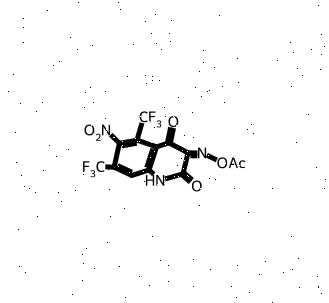 CC(=O)ON=C1C(=O)Nc2cc(C(F)(F)F)c([N+](=O)[O-])c(C(F)(F)F)c2C1=O